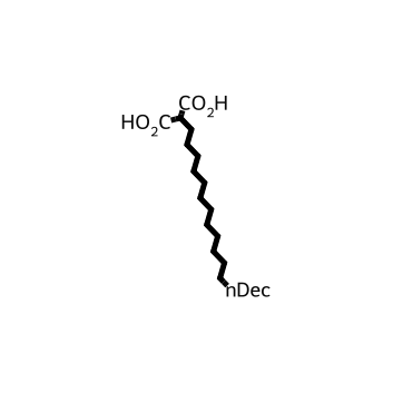 CCCCCCCCCCCCCCCCCCCCCCC(C(=O)O)C(=O)O